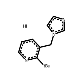 CC(C)(C)c1ncccc1Cn1ccnc1.I